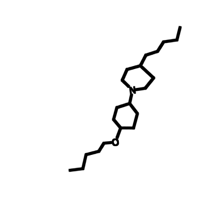 CCCCCOC1CCC(N2CCC(CCCCC)CC2)CC1